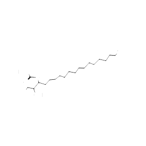 CCCCCCCCCCCCCCCCC(OC(C)=O)C(O)CO